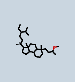 CCC(CC[C@@H](C)C1CCC2C3CCCC(C)(CCC(C)OC)C3CCC21C)C(C)C